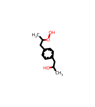 CC(O)Cc1ccc(CC(C)OO)cc1